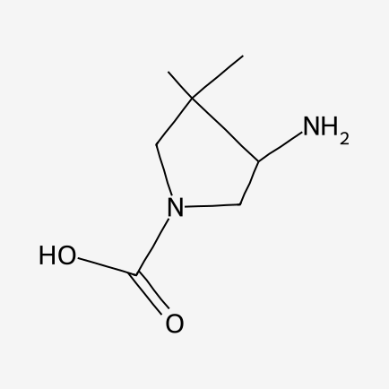 CC1(C)CN(C(=O)O)CC1N